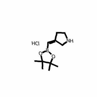 CC1(C)OB(C=C2CCNC2)OC1(C)C.Cl